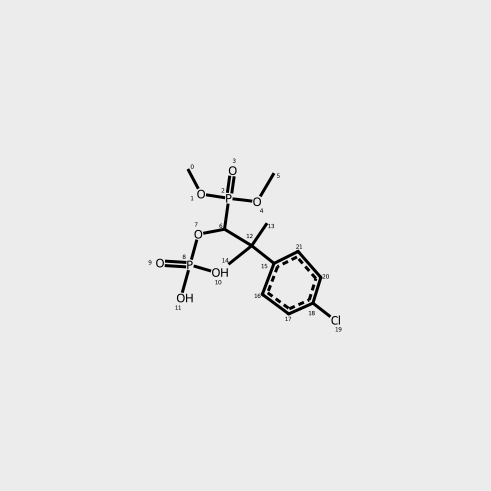 COP(=O)(OC)C(OP(=O)(O)O)C(C)(C)c1ccc(Cl)cc1